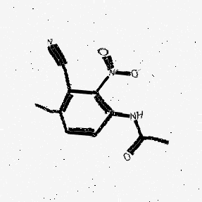 CC(=O)Nc1ccc(C)c(C#N)c1[N+](=O)[O-]